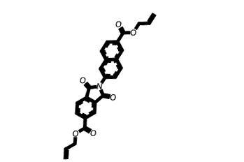 C=CCOC(=O)c1ccc2c(c1)C(=O)N(c1ccc3cc(C(=O)OCC=C)ccc3c1)C2=O